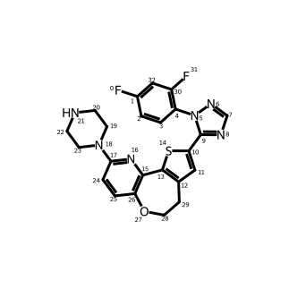 Fc1ccc(-n2ncnc2-c2cc3c(s2)-c2nc(N4CCNCC4)ccc2OCC3)c(F)c1